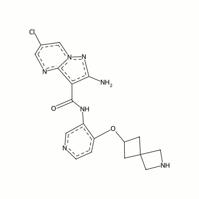 Nc1nn2cc(Cl)cnc2c1C(=O)Nc1cnccc1OC1CC2(CNC2)C1